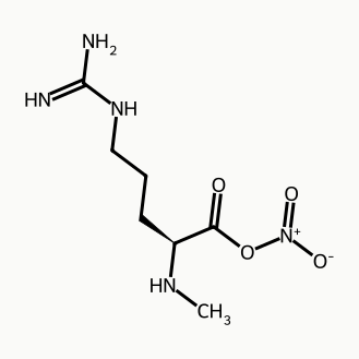 CN[C@@H](CCCNC(=N)N)C(=O)O[N+](=O)[O-]